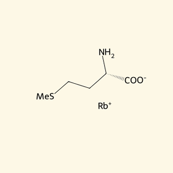 CSCC[C@H](N)C(=O)[O-].[Rb+]